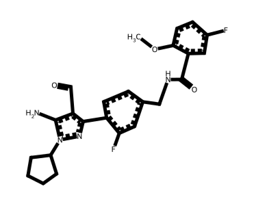 COc1ccc(F)cc1C(=O)NCc1ccc(-c2nn(C3CCCC3)c(N)c2C=O)c(F)c1